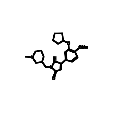 COc1ccc(-c2cc(=O)n(CC3CCCN(C)C3)[nH]2)cc1OC1CCCC1